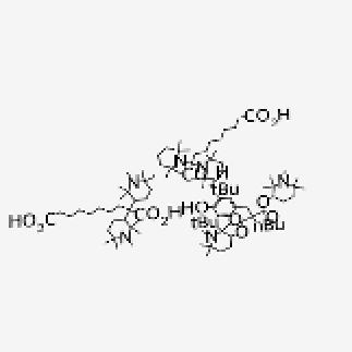 CC1(C)CCCC(C)(C)N1C(CCCCCCCC(=O)O)(C(=O)O)N1C(C)(C)CCCC1(C)C.CCCCC(Cc1cc(C(C)(C)C)c(O)c(C(C)(C)C)c1)(C(=O)OC1CCC(C)(C)N(C)C1(C)C)C(=O)OC1CCC(C)(C)N(C)C1(C)C.CN1C(C)(C)CCC(C(CCCCCCCC(=O)O)(C(=O)O)C2CCC(C)(C)N(C)C2(C)C)C1(C)C